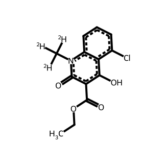 [2H]C([2H])([2H])n1c(=O)c(C(=O)OCC)c(O)c2c(Cl)cccc21